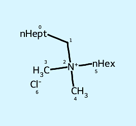 CCCCCCCC[N+](C)(C)CCCCCC.[Cl-]